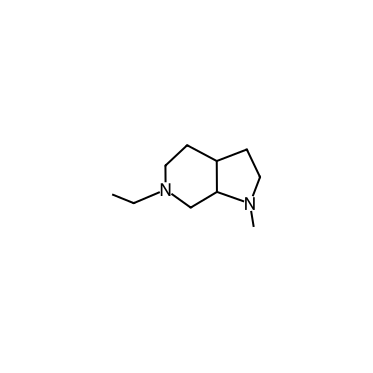 CCN1CCC2CCN(C)C2C1